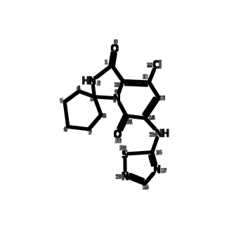 O=C1NC2(CCCCC2)n2c1c(Cl)cc(Nc1ncns1)c2=O